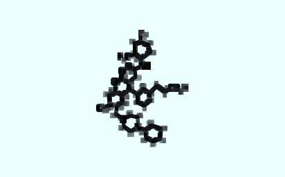 O=C(O)C=Cc1cccc(-c2c(CC(=O)Nc3ccc(F)cc3C(F)(F)F)c(=O)oc3cc(Cl)c(CN4CCN(c5ccccc5)CC4)cc23)c1